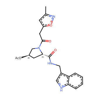 CC(=O)O[C@@H]1C[C@@H](C(=O)NCc2c[nH]c3ccccc23)N(C(=O)Cc2cc(C)no2)C1